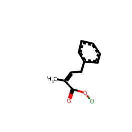 CC(=CCc1ccccc1)C(=O)OCl